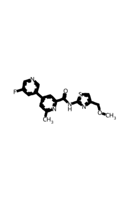 COCc1csc(NC(=O)c2cc(-c3cncc(F)c3)cc(C)n2)n1